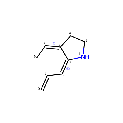 C=C/C=C1/NCC/C1=C/C